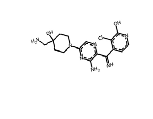 N=C(c1ccnc(O)c1Cl)c1ncc(N2CCC(O)(CN)CC2)nc1N